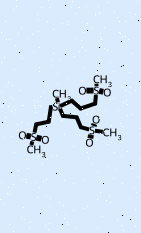 C[Si](CCCS(C)(=O)=O)(CCCS(C)(=O)=O)CCCS(C)(=O)=O